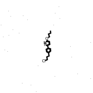 CCCCOc1ccc(-c2ccc(CCCCl)cc2)nn1